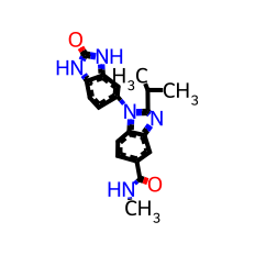 CNC(=O)c1ccc2c(c1)nc(C(C)C)n2-c1ccc2[nH]c(=O)[nH]c2c1